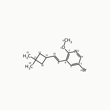 COc1ncc(Br)cc1C=CC1CC(C)(C)C1